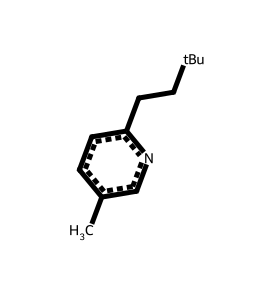 Cc1ccc(CCC(C)(C)C)nc1